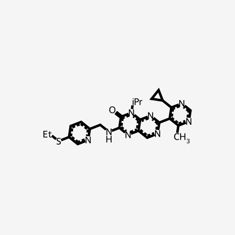 CCSc1ccc(CNc2nc3cnc(-c4c(C)ncnc4C4CC4)nc3n(C(C)C)c2=O)nc1